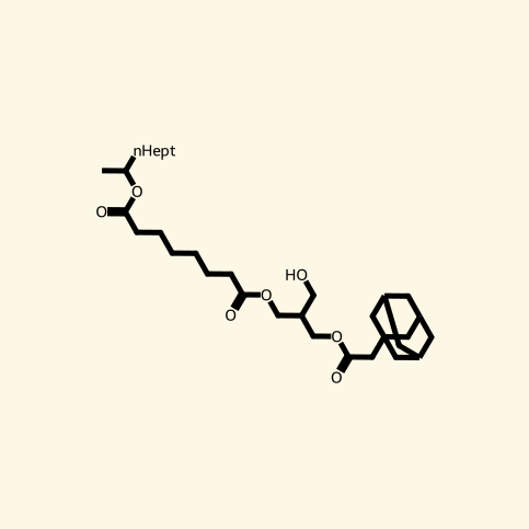 CCCCCCCC(C)OC(=O)CCCCCCC(=O)OCC(CO)COC(=O)CC12CC3CC(CC(C3)C1)C2